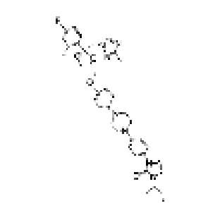 CCC(C)n1cnn(-c2ccc(N3CCN(c4ccc(OC[C@@H]5CO[C@@](Cn6cnc(C)n6)(c6ccc(F)cc6F)O5)cc4)CC3)cc2)c1=O